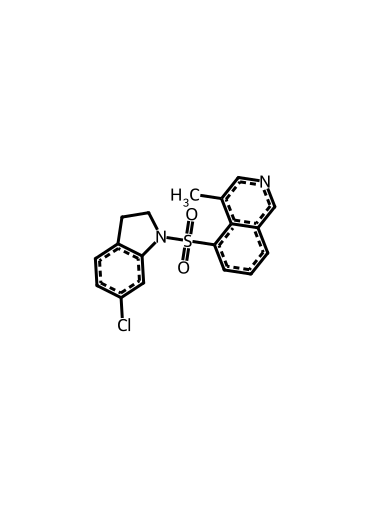 Cc1cncc2cccc(S(=O)(=O)N3CCc4ccc(Cl)cc43)c12